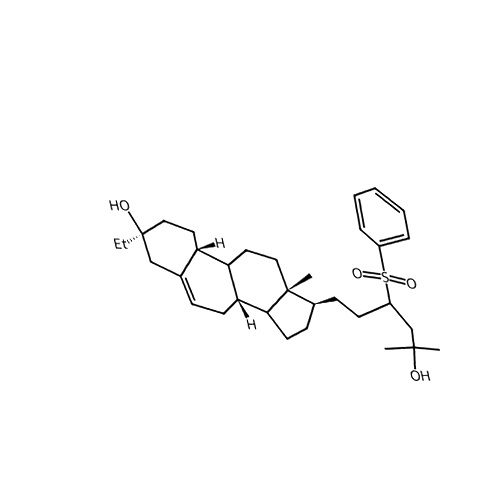 CC[C@]1(O)CC[C@H]2C(=CC[C@@H]3C2CC[C@@]2(C)C3CC[C@@H]2CCC(CC(C)(C)O)S(=O)(=O)c2ccccc2)C1